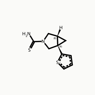 NC(=S)N1C[C@@H]2C[C@]2(c2cccs2)C1